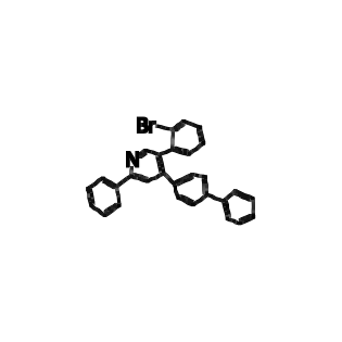 Brc1ccccc1-c1cnc(-c2ccccc2)cc1-c1ccc(-c2ccccc2)cc1